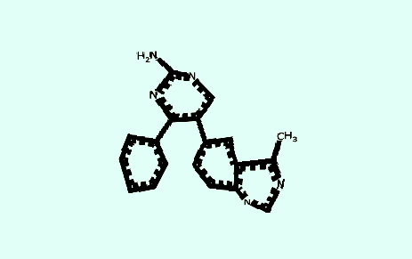 Cc1ncnc2ccc(-c3cnc(N)nc3-c3ccccc3)cc12